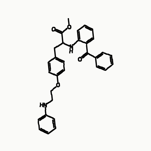 COC(=O)C(Cc1ccc(OCCNc2ccccc2)cc1)Nc1ccccc1C(=O)c1ccccc1